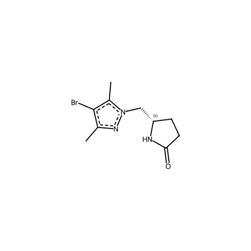 Cc1nn(C[C@@H]2CCC(=O)N2)c(C)c1Br